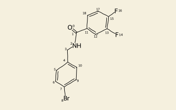 O=C(NCc1ccc(Br)cc1)c1[c]c(F)c(F)cc1